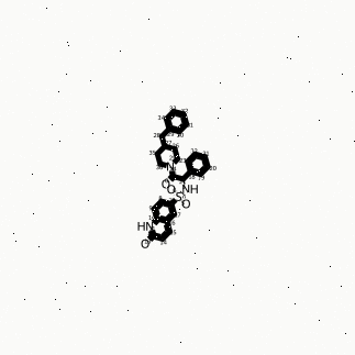 O=C([C@@H](NS(=O)(=O)c1ccc2[nH]c(=O)ccc2c1)c1ccccc1)N1CCC(Cc2ccccc2)CC1